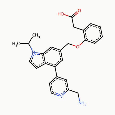 CC(C)n1ccc2c(-c3ccnc(CN)c3)cc(COc3ccccc3CC(=O)O)cc21